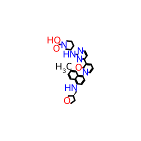 Cc1ccc2c(NC[C@H]3CCOC3)cccc2c1Oc1ncccc1-c1ccnc(N[C@H]2CCCN(C(=O)O)C2)n1